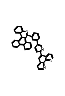 c1cc(-c2ccc(-c3cc4cccnc4c4ncccc34)nc2)cc(-c2nc3ccccc3c3c4ccccc4c4ccccc4c23)c1